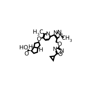 Cc1nc(-c2nnn(C)c2COc2noc(C3CC3)n2)ccc1O[C@H]1C[C@H]2CC[C@@H](C(=O)O)[C@H]2C1